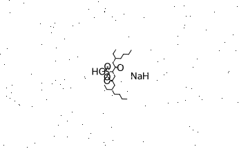 CCCCC(CC)CC(=O)CC(C(=O)CC(CC)CCCC)S(=O)(=O)O.[NaH]